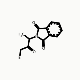 CC(C(=O)CBr)N1C(=O)c2ccccc2C1=O